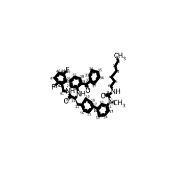 CCCCCCCNC(=O)N(C)c1cccc(-c2ccc(C[C@H](Nc3ccccc3C(=O)c3ccccc3)C(=O)NCc3cc(F)ccc3F)cc2)c1